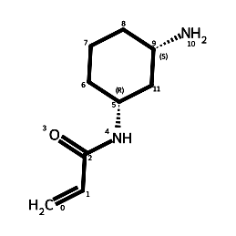 C=CC(=O)N[C@@H]1CCC[C@H](N)C1